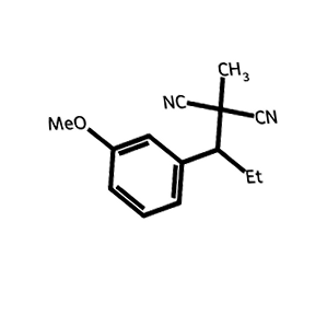 CCC(c1cccc(OC)c1)C(C)(C#N)C#N